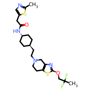 Cc1ncc(CC(=O)N[C@H]2CC[C@H](CCN3CCc4sc(OCC(C)(F)F)nc4C3)CC2)s1